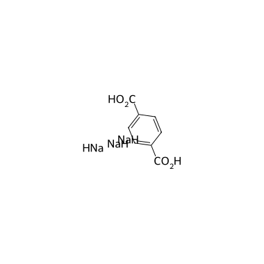 O=C(O)c1ccc(C(=O)O)cc1.[NaH].[NaH].[NaH]